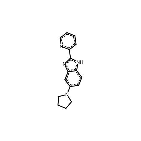 c1ccc(-c2nc3cc(N4CCCC4)ccc3[nH]2)nc1